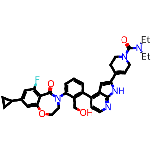 CCN(CC)C(=O)N1CC=C(c2cc3c(-c4cccc(N5CCOc6cc(C7CC7)cc(F)c6C5=O)c4CO)ccnc3[nH]2)CC1